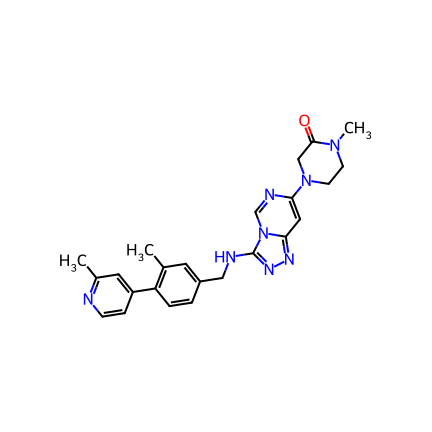 Cc1cc(-c2ccc(CNc3nnc4cc(N5CCN(C)C(=O)C5)ncn34)cc2C)ccn1